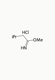 COC(=N)CC(C)C.Cl